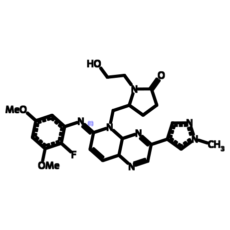 COc1cc(/N=C2\C=CC3N=CC(c4cnn(C)c4)=NC3N2CC2CCC(=O)N2CCO)c(F)c(OC)c1